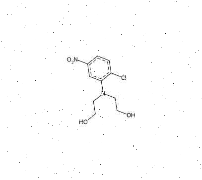 O=[N+]([O-])c1ccc(Cl)c(N(CCO)CCO)c1